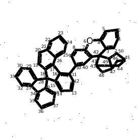 c1ccc2c(c1)Oc1ccc(-c3cccc4c3-c3c(ccc5ccccc35)C43c4ccccc4-c4ccccc43)cc1C21C2CC3CC(C2)C1C3